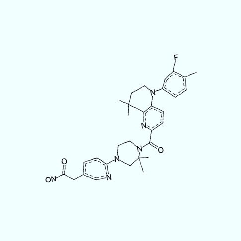 Cc1ccc(N2CCC(C)(C)c3nc(C(=O)N4CCN(c5ccc(CC(=O)N=O)cn5)CC4(C)C)ccc32)cc1F